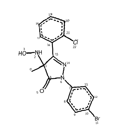 CC1(NO)C(=O)N(c2ccc(Br)cc2)N=C1c1ccccc1Cl